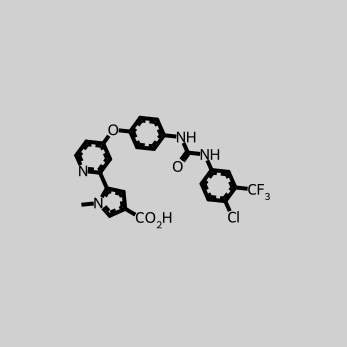 Cn1cc(C(=O)O)cc1-c1cc(Oc2ccc(NC(=O)Nc3ccc(Cl)c(C(F)(F)F)c3)cc2)ccn1